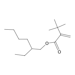 C=C(C(=O)OCC(CC)CCCC)C(C)(C)C